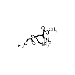 C=CC(=O)OC(CN)CC(=C)C(=O)OC